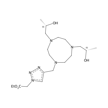 CCOC(=O)Cn1cc(CN2CCN(C[C@H](C)O)CCN(C[C@H](C)O)CC2)nn1